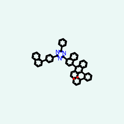 c1ccc(-c2nc(-c3ccc(-c4cccc5ccccc45)cc3)nc(-c3ccc(-c4c5ccccc5c(-c5ccccc5-c5ccccc5)c5ccccc45)c4ccccc34)n2)cc1